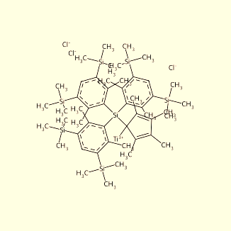 CC1=C(C)[C]([Ti+3])([Si](c2c(C)c([Si](C)(C)C)cc([Si](C)(C)C)c2C)(c2c(C)c([Si](C)(C)C)cc([Si](C)(C)C)c2C)c2c(C)c([Si](C)(C)C)cc([Si](C)(C)C)c2C)C(C)=C1C.[Cl-].[Cl-].[Cl-]